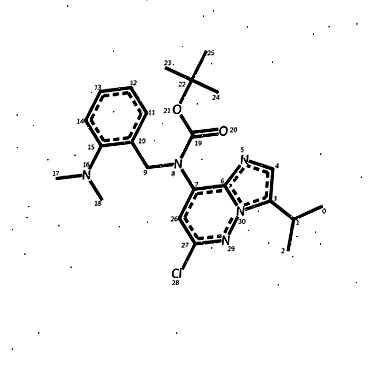 CC(C)c1cnc2c(N(Cc3ccccc3N(C)C)C(=O)OC(C)(C)C)cc(Cl)nn12